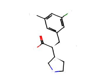 Cc1cc(Br)cc(C[C@H](C(=O)O)[C@H]2CCNC2)c1.Cl